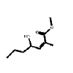 CCCC(O)C=C(C)C(=O)OC